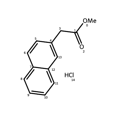 COC(=O)Cc1ccc2ccccc2c1.Cl